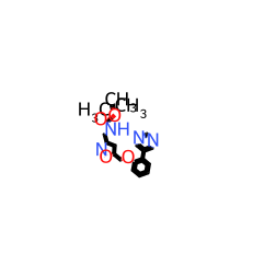 CC(C)(C)OC(=O)NCC1=NOC(COc2ccccc2-c2cncnc2)C1